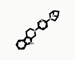 c1ccc2c3c([nH]c2c1)CN(c1ccc(N2CC4CC(C2)O4)nc1)CC3